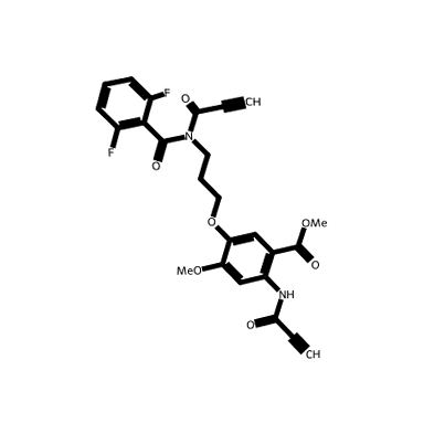 C#CC(=O)Nc1cc(OC)c(OCCCN(C(=O)C#C)C(=O)c2c(F)cccc2F)cc1C(=O)OC